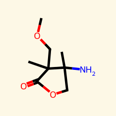 COCC1(C)C(=O)OCC1(C)N